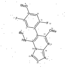 CCC(C)Nc1c(-c2cc(F)c(OC)cc2F)c(OC)nc2ncnn12